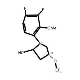 COc1c(N2C[C@H](OC(F)(F)F)CC2C#N)ccc(F)c1F